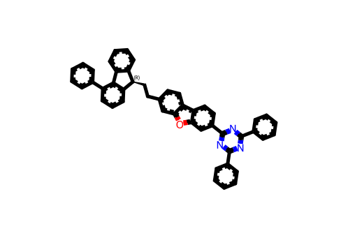 c1ccc(-c2nc(-c3ccccc3)nc(-c3ccc4c(c3)oc3cc(CC[C@@H]5c6ccccc6-c6c(-c7ccccc7)cccc65)ccc34)n2)cc1